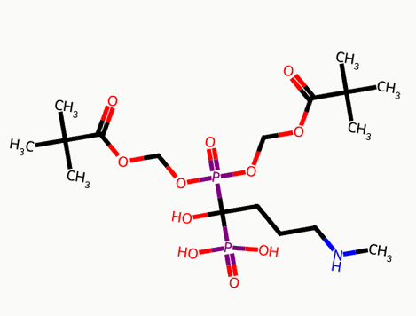 CNCCCC(O)(P(=O)(O)O)P(=O)(OCOC(=O)C(C)(C)C)OCOC(=O)C(C)(C)C